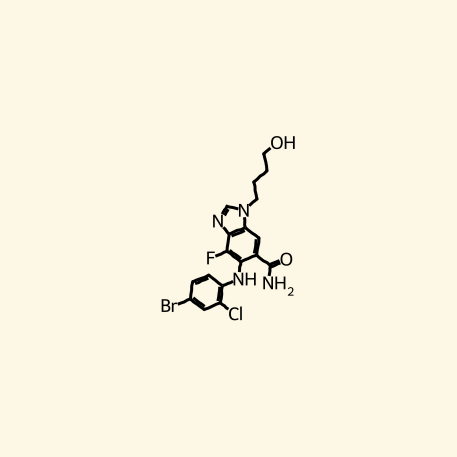 NC(=O)c1cc2c(ncn2CCCCO)c(F)c1Nc1ccc(Br)cc1Cl